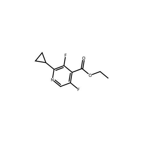 CCOC(=O)c1c(F)cnc(C2CC2)c1F